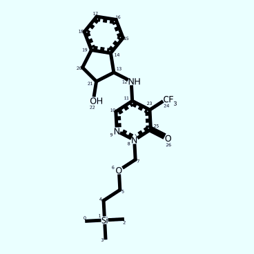 C[Si](C)(C)CCOCn1ncc(NC2c3ccccc3CC2O)c(C(F)(F)F)c1=O